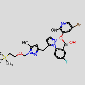 CS(C)(C)CCOCn1nc(Cc2ccnn2-c2ccc(F)cc2[C@@H](O)Oc2cc(Br)cnc2N=O)cc1C#N